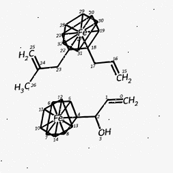 C=CC(O)[C]12[CH]3[CH]4[CH]5[CH]1[Fe]45321678[CH]2[CH]1[CH]6[CH]7[CH]28.C=CC[C]12[CH]3[CH]4[CH]5[C]1(CC(=C)C)[Fe]43521678[CH]2[CH]1[CH]6[CH]7[CH]28